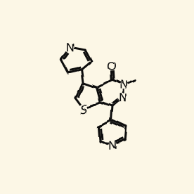 Cn1nc(-c2ccncc2)c2scc(-c3ccncc3)c2c1=O